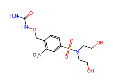 NC(=O)NOCc1ccc(S(=O)(=O)N(CCO)CCO)cc1[N+](=O)[O-]